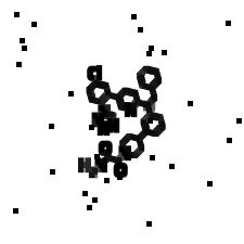 NC(=O)C(=O)N1CCC(c2cccc([C@H](Cc3ccccc3)c3ccc(-c4cc(Cl)ccc4-n4cnnn4)cn3)c2)CC1